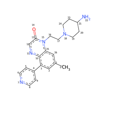 Cc1cc(-c2ccncc2)c2ncc(=O)n(CCN3CCC(N)CC3)c2c1